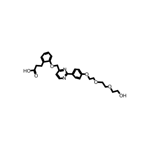 O=C(O)CCc1ccccc1OCc1ccnc(-c2ccc(OCCOCCOCCO)cc2)n1